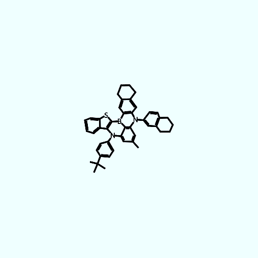 Cc1cc2c3c(c1)N(c1ccc(C(C)(C)C)cc1)c1c(sc4ccccc14)B3c1cc3c(cc1N2c1ccc2c(c1)CCCC2)CCCC3